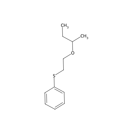 CCC(C)OCCSc1ccccc1